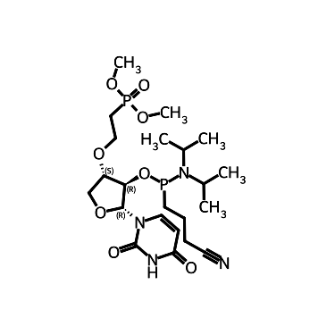 COP(=O)(CCO[C@H]1CO[C@@H](n2ccc(=O)[nH]c2=O)[C@@H]1OP(CCCC#N)N(C(C)C)C(C)C)OC